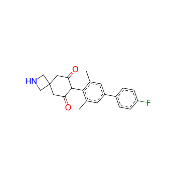 Cc1cc(-c2ccc(F)cc2)cc(C)c1C1C(=O)CC2(CNC2)CC1=O